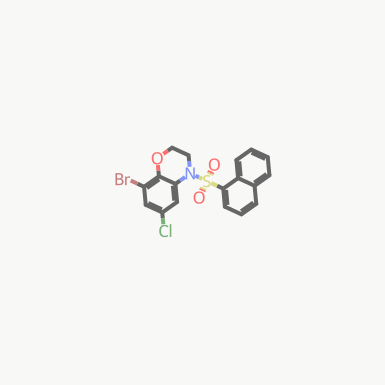 O=S(=O)(c1cccc2ccccc12)N1CCOc2c(Br)cc(Cl)cc21